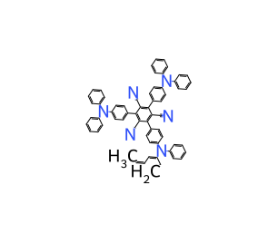 C=C/C(=C\C=C/C)N(c1ccccc1)c1ccc(-c2c(C#N)c(-c3ccc(N(c4ccccc4)c4ccccc4)cc3)c(C#N)c(-c3ccc(N(c4ccccc4)c4ccccc4)cc3)c2C#N)cc1